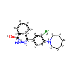 O=c1[nH]nc(-c2ccc(N3CCCCCC3)c(Br)c2)c2ccccc12